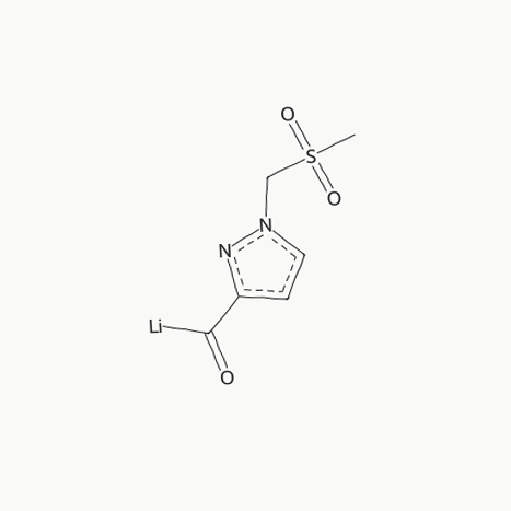 [Li][C](=O)c1ccn(CS(C)(=O)=O)n1